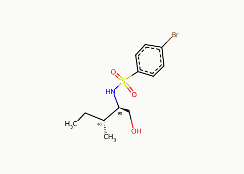 CC[C@@H](C)[C@H](CO)NS(=O)(=O)c1ccc(Br)cc1